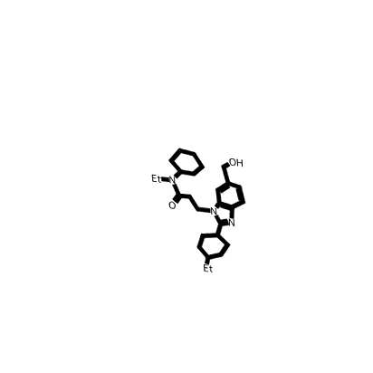 CCC1CCC(c2nc3ccc(CO)cc3n2CCC(=O)N(CC)C2CCCCC2)CC1